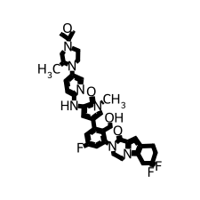 CC1CN(C2COC2)CCN1c1ccc(Nc2cc(-c3cc(F)cc(N4CCn5c(cc6c5CC(F)(F)CC6)C4=O)c3CO)cn(C)c2=O)nc1